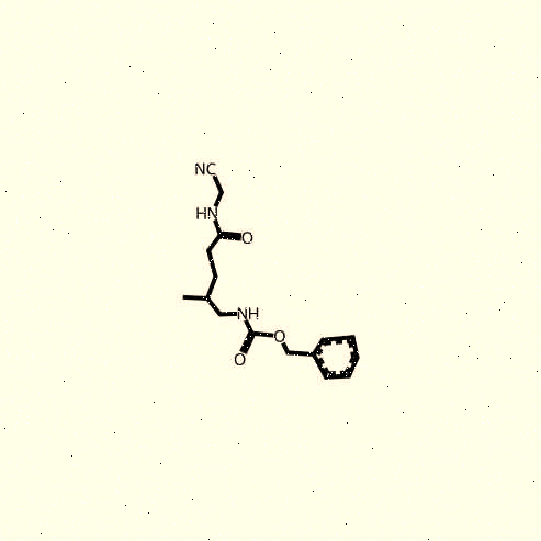 CC(CCC(=O)NCC#N)CNC(=O)OCc1ccccc1